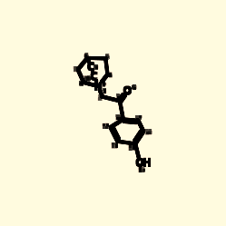 O=C(C[N+]12CCC(CC1)CC2)c1ccc(O)cc1